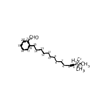 C[Si](C)(C)C#CCCCCCCCCCCc1ccccc1C=O